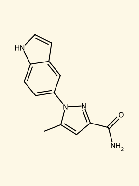 Cc1cc(C(N)=O)nn1-c1ccc2[nH]ccc2c1